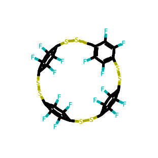 Fc1c(F)c2c(F)c(F)c1SSc1c(F)c(F)c(c(F)c1F)SSc1c(F)c(F)c(c(F)c1F)SSc1c(F)c(F)c(c(F)c1F)SS2